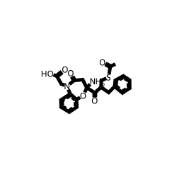 CC(=O)SCC(Cc1ccccc1)C(=O)C1(N)CC(=O)N(CC(=O)O)c2ccccc2O1